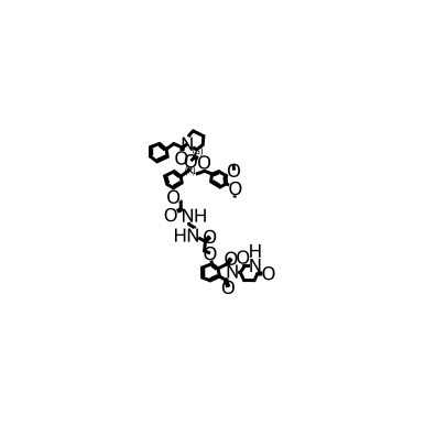 COc1ccc(CC[C@@H](OC(=O)[C@@H]2CCCCN2C(=O)Cc2ccccc2)c2cccc(OCC(=O)NCCNC(=O)COc3cccc4c3C(=O)N(C3CCC(=O)NC3=O)C4=O)c2)cc1OC